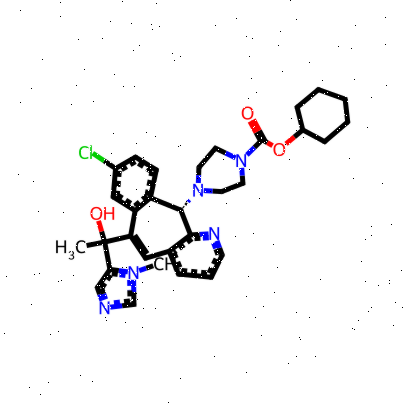 Cn1cncc1C(C)(O)C1=Cc2cccnc2[C@@H](N2CCN(C(=O)OC3CCCCC3)CC2)c2ccc(Cl)cc21